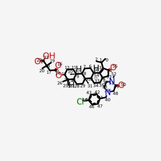 CC(C)C1=C2[C@H]3CC[C@@H]4[C@@]5(C)CC[C@H](OC(=O)CC(C)(C)C(=O)O)C(C)(C)[C@@H]5CC[C@@]4(C)[C@]3(C)CCC2([C@H]2CN(Cc3ccc(Cl)cc3)CC(=O)N2C)CC1=O